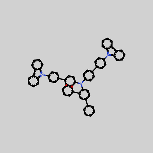 c1ccc(-c2ccc(N(c3ccc(-c4ccc(-n5c6ccccc6c6ccccc65)cc4)cc3)c3ccc(-c4ccc(-n5c6ccccc6c6ccccc65)cc4)cc3)c(-c3ccccc3)c2)cc1